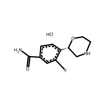 Cl.NC(=O)c1ccc([C@H]2CNCCO2)c(F)c1